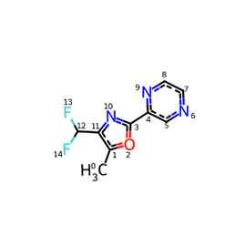 Cc1oc(-c2cnccn2)nc1C(F)F